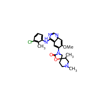 COc1cc2ncnc(Nc3cccc(Cl)c3C)c2cc1N1CC2(CCN(C)CC2C)OC1=O